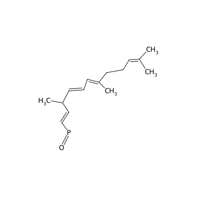 CC(C)=CCC/C(C)=C/C=C/C(C)/C=C/P=O